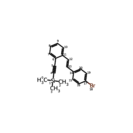 C[Si](C)(C)C#Cc1ccccc1C=Cc1ccc(Br)cc1